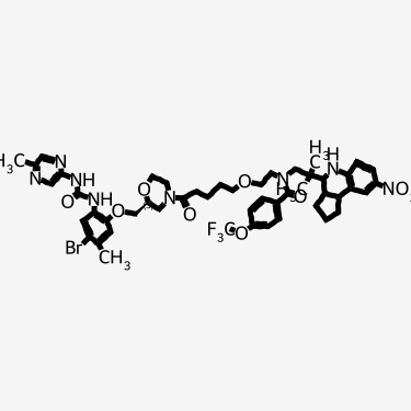 Cc1cnc(NC(=O)Nc2cc(Br)c(C)cc2OC[C@@H]2CN(C(=O)CCCCOCCN(CC(C)(C)C3Nc4ccc([N+](=O)[O-])cc4C4CCCC43)C(=O)c3ccc(OC(F)(F)F)cc3)CCO2)cn1